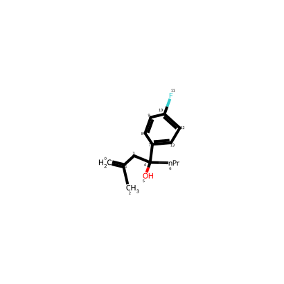 C=C(C)CC(O)(CCC)c1ccc(F)cc1